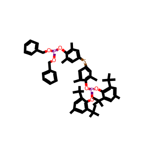 Cc1cc(C(C)(C)C)c(OP(Oc2c(C)cc(Sc3cc(C)c(OP(OCc4ccccc4)OCc4ccccc4)c(C)c3)cc2C)Oc2c(C(C)(C)C)cc(C)cc2C(C)(C)C)c(C(C)(C)C)c1